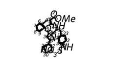 COC(=O)[C@@H](Cc1ccccc1)C(=O)N[C@@H](Cc1ccc(NS(=O)(=O)O)cc1)C1=NC(C2CCCCC2)CS1